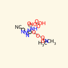 CN(C)CC(=O)OCCOCCOc1cc2ncn(-c3ccc(C#N)cn3)c2nc1NC1CCOCC1.O=C(O)C(=O)O